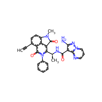 C#Cc1ccc2c3c(c([C@H](C)NC(=O)c4c(N)nn5cccnc45)n(-c4ccccc4)c(=O)c13)C(=O)N2C